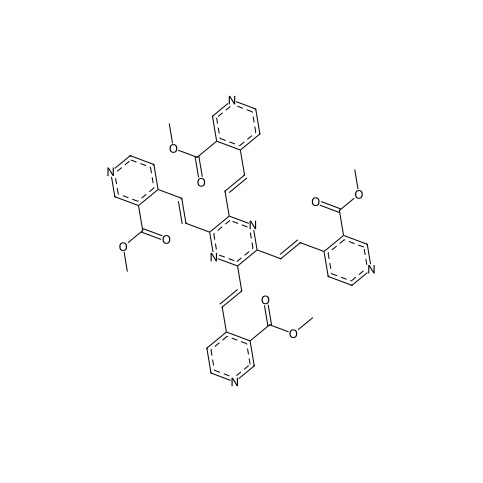 COC(=O)c1cnccc1C=Cc1nc(C=Cc2ccncc2C(=O)OC)c(C=Cc2ccncc2C(=O)OC)nc1C=Cc1ccncc1C(=O)OC